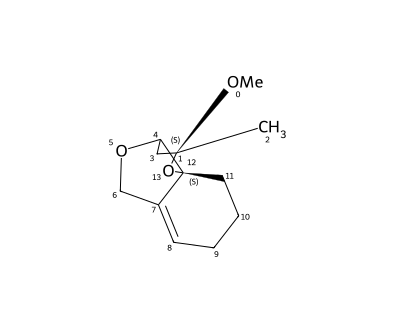 CO[C@]1(C)CC2OCC3=CCCC[C@]32O1